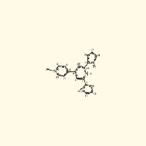 C[n+]1ccc(-c2cc(-c3cccs3)nc(-c3cccs3)c2)cc1